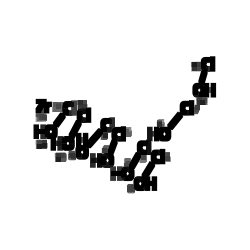 OCl.OCl.OCl.OCl.OCl.OCl.OCl.OCl.[Zr]